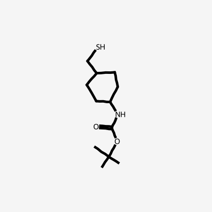 CC(C)(C)OC(=O)NC1CCC(CS)CC1